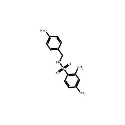 COc1ccc(CNS(=O)(=O)c2ccc([N+](=O)[O-])cc2[N+](=O)[O-])cc1